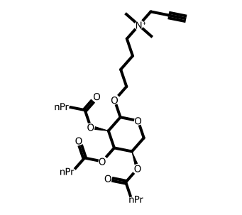 C#CC[N+](C)(C)CCCCOC1OC[C@@H](OC(=O)CCC)C(OC(=O)CCC)[C@H]1OC(=O)CCC